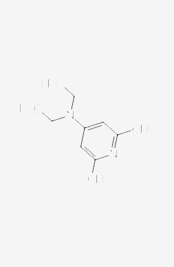 CCN(CC)c1cc(C)nc(C)c1